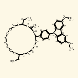 CCC1CCCCCCCCCC(CC)CC(C)CC(c2ccc(-n3c4ccc(OC)cc4c4cc(OC)ccc43)cc2)CCCCC1